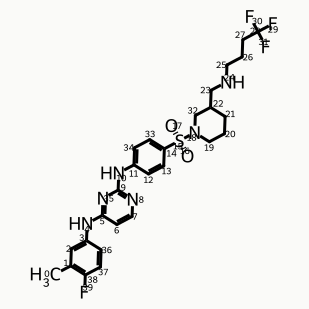 Cc1cc(Nc2ccnc(Nc3ccc(S(=O)(=O)N4CCCC(CNCCCC(F)(F)F)C4)cc3)n2)ccc1F